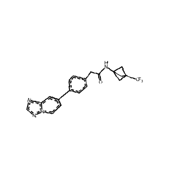 O=C(Cc1ccc(-c2ccn3ncnc3c2)cc1)NC12CC(C(F)(F)F)(C1)C2